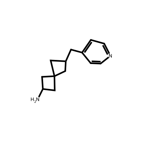 NC1CC2(C1)CC(Cc1ccncc1)C2